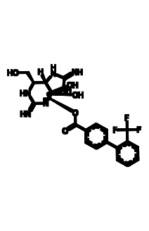 N=C1N[C@H]2[C@H](CO)NC(=N)N3C[C@H](OC(=O)c4ccc(-c5ccccc5C(F)(F)F)cc4)C(O)(O)[C@]23N1